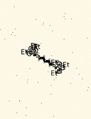 CCO[Si](CSCCCCCSC[Si](OCC)(OCC)OCC)(OCC)OCC